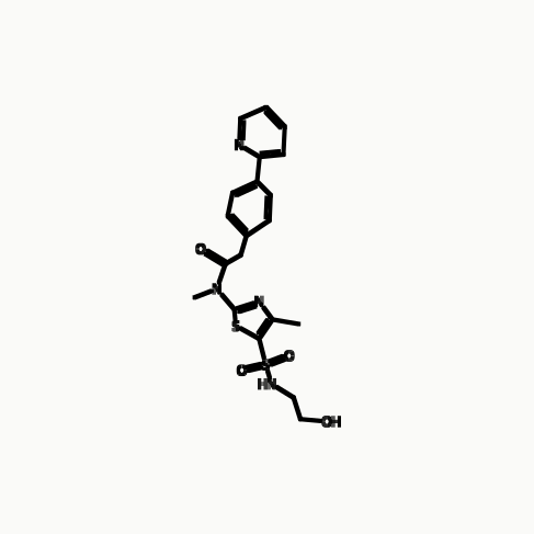 Cc1nc(N(C)C(=O)Cc2ccc(-c3ccccn3)cc2)sc1S(=O)(=O)NCCO